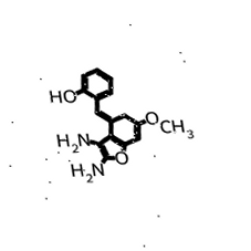 COC1=Cc2oc(N)c(N)c2C(=Cc2ccccc2O)C1